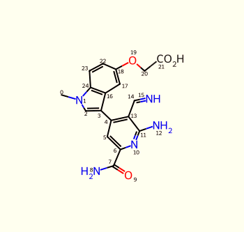 Cn1cc(-c2cc(C(N)=O)nc(N)c2C=N)c2cc(OCC(=O)O)ccc21